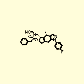 C[C@@H]1C2=C(CC[C@@H]2CN(CC#N)S(=O)(=O)Cc2ccccc2)Cc2c1cnn2-c1ccc(F)cc1